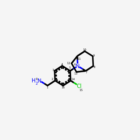 NCc1ccc(N2C3CCCC2CC3)c(Cl)c1